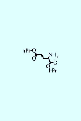 CCCOC(=O)CCC(N)C(=O)OCCC